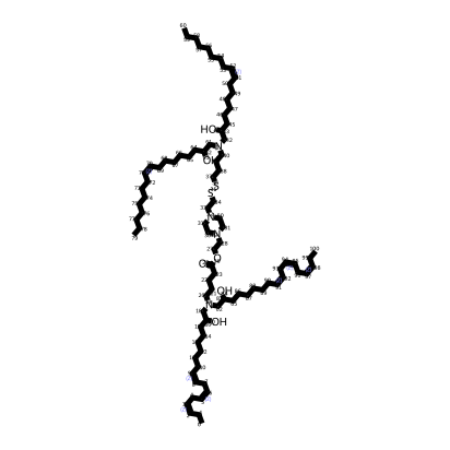 CC/C=C\C/C=C\C/C=C\CCCCCCC(O)CN(CCCCC(=O)OCCN1CCN(CCSSCCCCN(CC(O)CCCCCC/C=C\CCCCCCCC)CC(O)CCCCCC/C=C\CCCCCCCC)CC1)CC(O)CCCCCC/C=C\C/C=C\C/C=C\CC